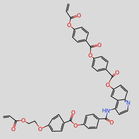 C=CC(=O)OCCOc1ccc(C(=O)Oc2ccc(C(=O)Nc3ccnc4ccc(OC(=O)c5ccc(OC(=O)c6ccc(OC(=O)C=C)cc6)cc5)cc34)cc2)cc1